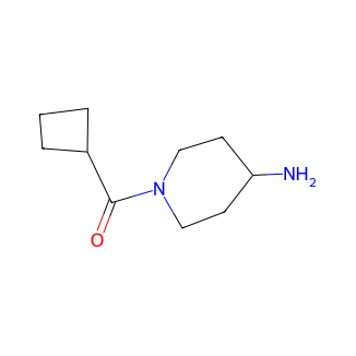 NC1CCN(C(=O)C2CCC2)CC1